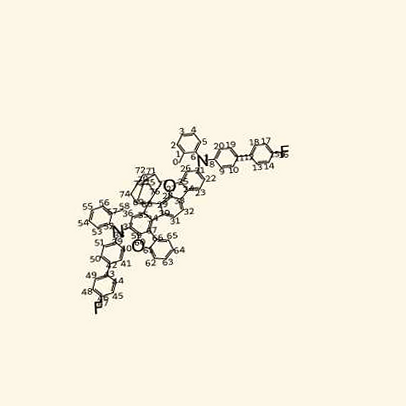 Cc1ccccc1N(c1ccc(-c2ccc(F)cc2)cc1)c1ccc2c(c1)oc1c3c(ccc12)-c1c(cc(N(c2ccc(-c4ccc(F)cc4)cc2)c2ccccc2C)c2oc4ccccc4c12)C31C2CC3CC(C2)CC1C3